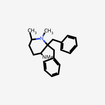 CNC1CCC(C)N(C)C1(Cc1ccccc1)Cc1ccccc1